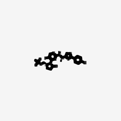 C[C@H](Nc1ncc(F)c(N2C(=O)CC[C@@H]2COS(C)(=O)=O)n1)c1cnc(-c2ccc(Cl)cc2)s1